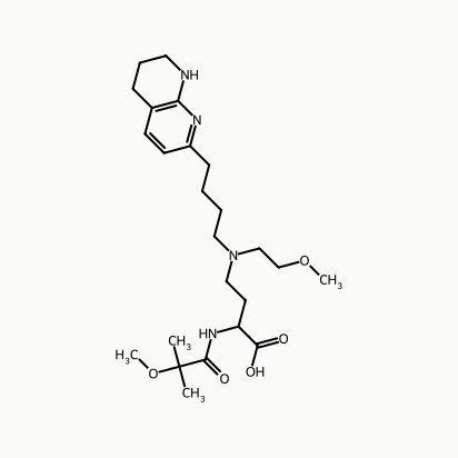 COCCN(CCCCc1ccc2c(n1)NCCC2)CCC(NC(=O)C(C)(C)OC)C(=O)O